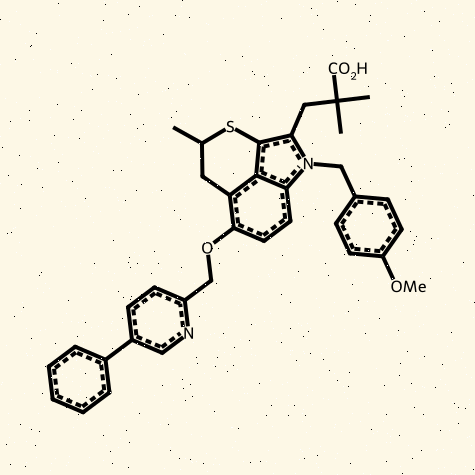 COc1ccc(Cn2c(CC(C)(C)C(=O)O)c3c4c(c(OCc5ccc(-c6ccccc6)cn5)ccc42)CC(C)S3)cc1